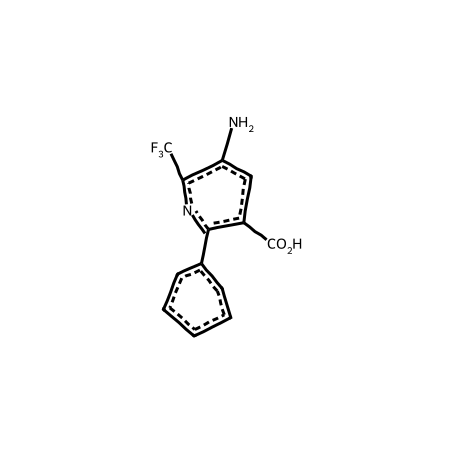 Nc1cc(C(=O)O)c(-c2ccccc2)nc1C(F)(F)F